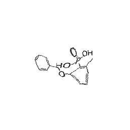 Cc1cccc(OCc2ccccc2)c1P(=O)(O)O